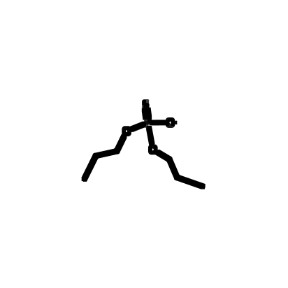 CCCOP([O])(=S)OCCC